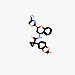 O=C(O)c1csc([C@H]2C[C@H](NC(=O)C3(c4ccc5c(c4)OC(F)(F)O5)CC3)c3ccccc3O2)n1